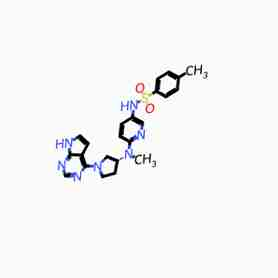 Cc1ccc(S(=O)(=O)Nc2ccc(N(C)[C@@H]3CCN(c4ncnc5[nH]ccc45)C3)nc2)cc1